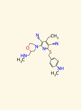 CCc1c(C#N)c(SCc2ccc(NC)cc2)nc(N2CCOC(CNC)C2)c1C#N